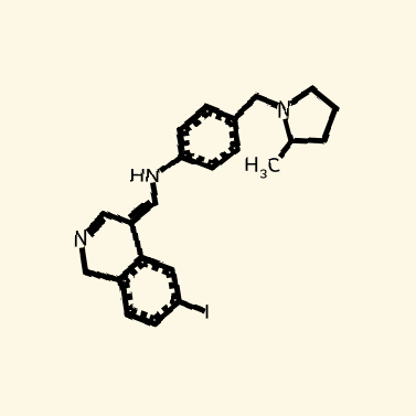 CC1CCCN1Cc1ccc(NC=C2C=NCc3ccc(I)cc32)cc1